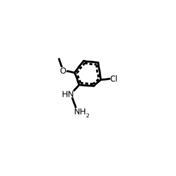 COc1ccc(Cl)cc1NN